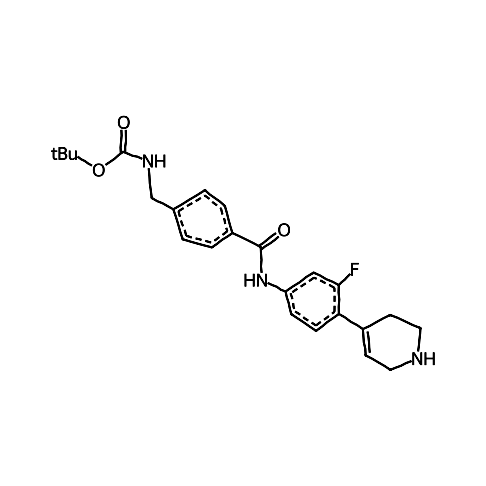 CC(C)(C)OC(=O)NCc1ccc(C(=O)Nc2ccc(C3=CCNCC3)c(F)c2)cc1